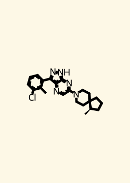 Cc1c(Cl)cccc1-c1n[nH]c2nc(N3CCC4(CCC[C@H]4C)CC3)cnc12